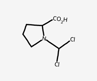 O=C(O)C1CCCN1C(Cl)Cl